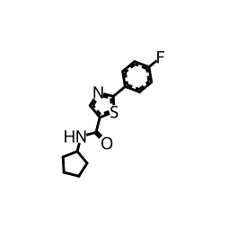 O=C(NC1CCCC1)c1cnc(-c2ccc(F)cc2)s1